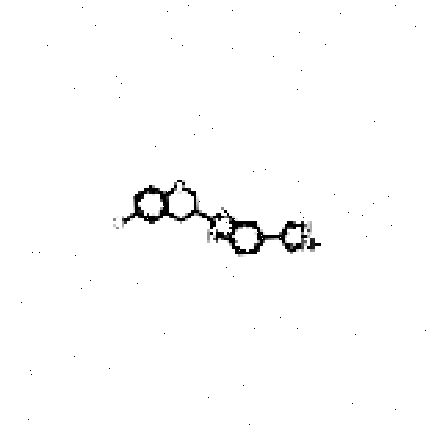 Clc1ccc2c(c1)CC(c1nc3ccc(-c4cn[nH]c4)cc3s1)CO2